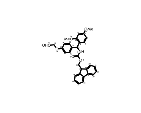 COc1ccc(C(NC(=O)OCC2c3ccccc3-c3ccccc32)c2ccc(OC[C]=O)cc2)c(OC)c1